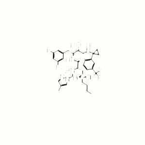 CCCCS(=O)(=O)C[C@@H](NC(=O)n1cc(C)cn1)C(=O)N[C@@H](Cc1cc(F)cc(F)c1)[C@H](O)CNC1(c2cccc(C(F)(F)F)c2)CC1